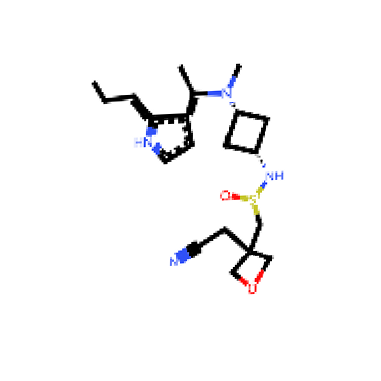 CC/C=c1\[nH]cc\c1=C(\C)N(C)[C@H]1C[C@@H](N[S+]([O-])CC2(CC#N)COC2)C1